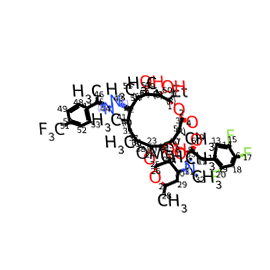 CC[C@H]1OC(=O)[C@H](C)[C@@H](OC(=O)Cc2cc(F)c(F)cc2F)[C@H](C)[C@@H](OC2OC(C)CC(N(C)C)C2O)[C@](C)(OC)C[C@@H](C)/C(=N\N=C(/C)c2ccc(C(F)(F)F)cc2)[C@H](C)[C@@H](O)[C@]1(C)O